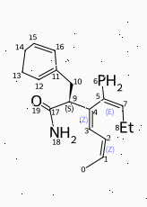 C\C=C/C=C(\C(P)=C/CC)[C@H](CC1=CCCC=C1)C(N)=O